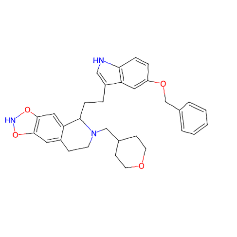 c1ccc(COc2ccc3[nH]cc(CCC4c5cc6c(cc5CCN4CC4CCOCC4)ONO6)c3c2)cc1